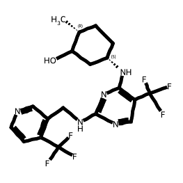 C[C@@H]1CC[C@H](Nc2nc(NCc3cnccc3C(F)(F)F)ncc2C(F)(F)F)CC1O